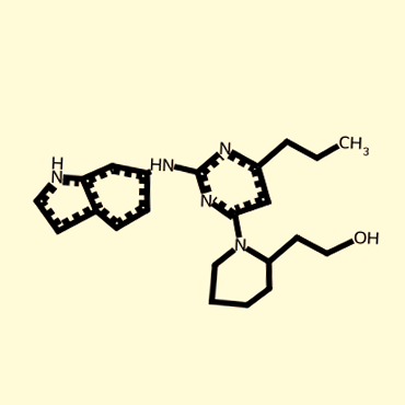 CCCc1cc(N2CCCCC2CCO)nc(Nc2ccc3cc[nH]c3c2)n1